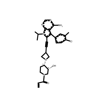 C=CC(=O)N1CC[C@H](N2CC(C#Cc3c(-c4ccc(Cl)c(C)c4)c4c(N)ncnc4n3C(C)C)C2)[C@H](O)C1